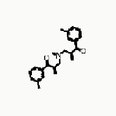 C=C(CN(C)CC(=C)C(=O)c1cccc(C)c1)C(=O)c1cccc(C)c1